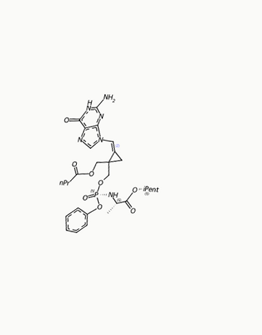 CCCC(=O)OCC1(CO[P@@](=O)(N[C@@H](C)C(=O)O[C@@H](C)CCC)Oc2ccccc2)C/C1=C/n1cnc2c(=O)[nH]c(N)nc21